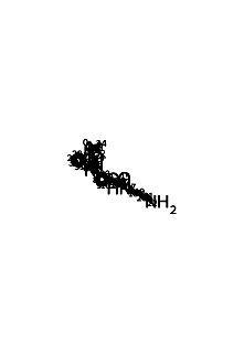 Cc1nc(-[n+]2nc(-c3cccc(OCC(=O)NCCCCCN)c3)nn2-c2ccccc2)sc1C